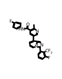 Cc1ncc(-c2cccn3c(-c4cccc(F)c4C(F)(F)F)ncc23)cc1C(=O)Nc1ccc(F)cc1